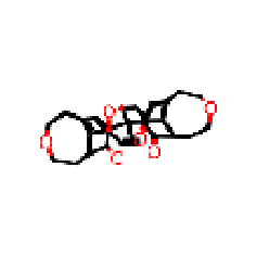 C=CC(=O)C1=C2C=C(C(C)(C)C3=CC4=C(C(=O)C=C)C(CCOCC4)C3=O)C(=O)C1CCOCC2